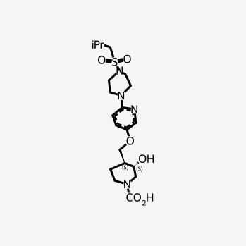 CC(C)CS(=O)(=O)N1CCN(c2ccc(OC[C@@H]3CCN(C(=O)O)C[C@H]3O)cn2)CC1